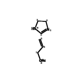 C1=NCCN1.C=CCOC(C)=O